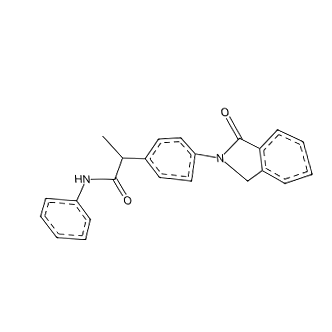 CC(C(=O)Nc1ccccc1)c1ccc(N2Cc3ccccc3C2=O)cc1